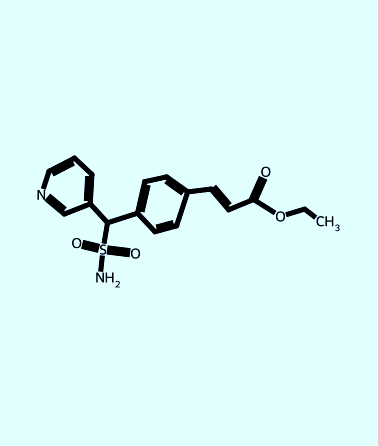 CCOC(=O)/C=C/c1ccc(C(c2cccnc2)S(N)(=O)=O)cc1